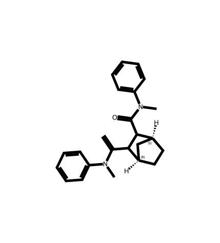 C=C(C1C(C(=O)N(C)c2ccccc2)[C@H]2CC[C@@H]1C2)N(C)c1ccccc1